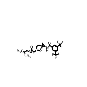 CC(C)CNC(=O)CN1CCC2(CC1)C[C@@H]2NC(=O)c1cc(C(F)(F)F)cc(C(F)(F)F)c1